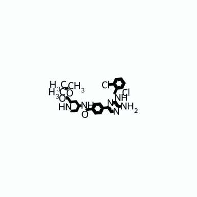 CC(C)(C)OC(=O)C1CC(NC(=O)c2ccc(-c3cnc(N)c(NCc4c(Cl)cccc4Cl)n3)cc2)CCN1